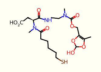 CC1=C(COC(=O)N(C)CCNC(=O)[C@H](CC(=O)O)N(C)C(=O)CCCCCS)OC(O)O1